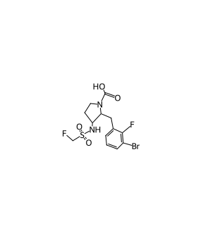 O=C(O)N1CCC(NS(=O)(=O)CF)C1Cc1cccc(Br)c1F